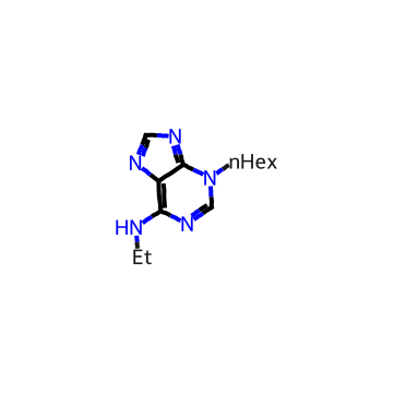 CCCCCCn1cnc(NCC)c2ncnc1-2